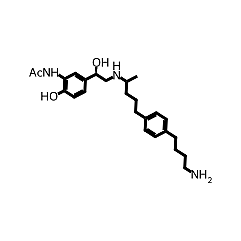 CC(=O)Nc1cc([C@@H](O)CNC(C)CCCc2ccc(CCCCN)cc2)ccc1O